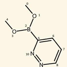 COB(OC)c1cccnn1